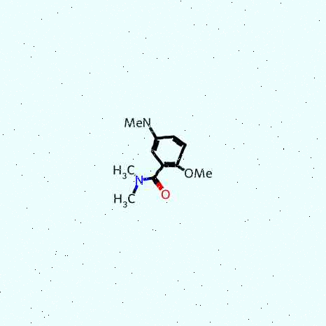 CNc1ccc(OC)c(C(=O)N(C)C)c1